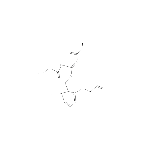 C=CCOC1=CC=CC(C)C1CN/C(=N/C(=O)OC(C)(C)C)NC(=O)OC(C)(C)C